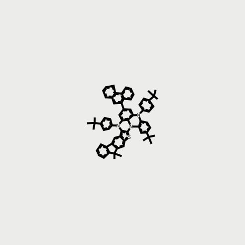 CC(C)(C)c1ccc(N2c3ccc(C(C)(C)C)cc3N3c4sc5cc6c(cc5c4N(c4ccc(C(C)(C)C)cc4)c4cc(-c5cc7ccccc7c7ccccc57)cc2c43)-c2ccccc2C6(C)C)cc1